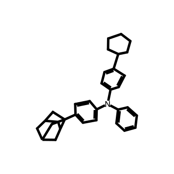 c1ccc(N(c2ccc(C3CCCCC3)cc2)c2ccc(C34CC5CC(CC3C5)C4)cc2)cc1